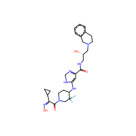 O=C(NC[C@H](O)CN1CCc2ccccc2C1)C1=NCNC(NC2CCN(C(=O)/C(=N\O)C3CC3)CC2(F)F)=C1